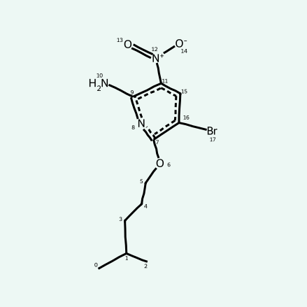 CC(C)CCCOc1nc(N)c([N+](=O)[O-])cc1Br